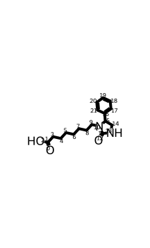 O=C(O)CCCCCCCN1C(=O)NCC1c1ccccc1